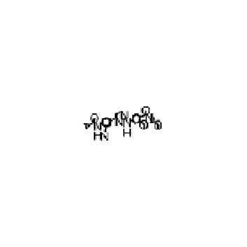 COc1cc(Nc2nccc(-c3ccc(NC(=O)C4CC4)c(C#N)c3)n2)ccc1C(=O)N1CC(OC)C1